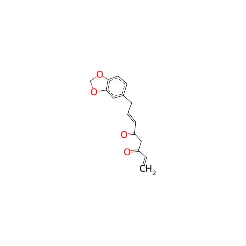 C=CC(=O)CC(=O)C=CCc1ccc2c(c1)OCO2